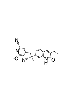 CCc1cc2ccc(C(C)(C#N)Cc3cc(C#N)nc(OC)c3)cc2[nH]c1=O